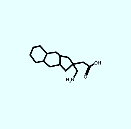 NCC1(CC(=O)O)CC2CC3CCCCC3CC2C1